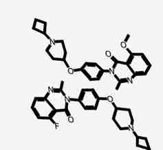 COc1cccc2nc(C)n(-c3ccc(OC4CCN(C5CCC5)CC4)cc3)c(=O)c12.Cc1nc2cccc(F)c2c(=O)n1-c1ccc(OC2CCN(C3CCC3)CC2)cc1